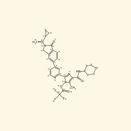 Cc1c(C(=O)NC2CCOCC2)nc(-c2cc(-c3ccc4c(c3)CN([C@@H](C)C3CC3)C4=O)ccn2)n1OC(=O)C(F)(F)F